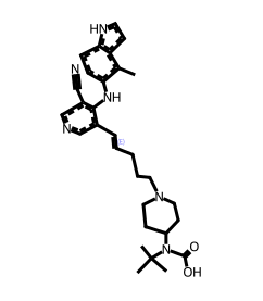 Cc1c(Nc2c(C#N)cncc2/C=C/CCCN2CCC(N(C(=O)O)C(C)(C)C)CC2)ccc2[nH]ccc12